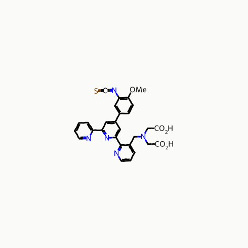 COc1ccc(-c2cc(-c3ccccn3)nc(-c3ncccc3CN(CC(=O)O)CC(=O)O)c2)cc1N=C=S